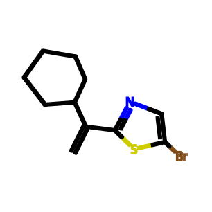 C=C(c1ncc(Br)s1)C1CCCCC1